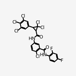 O=C(Nc1ccc(F)cc1F)c1cc(NC(=O)C2C(c3cc(Cl)c(Cl)c(Cl)c3)C2(Cl)Cl)ccc1Cl